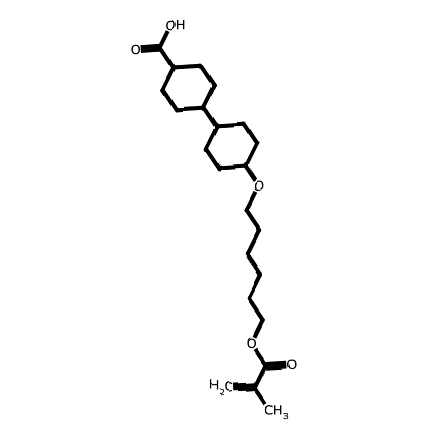 C=C(C)C(=O)OCCCCCCOC1CCC(C2CCC(C(=O)O)CC2)CC1